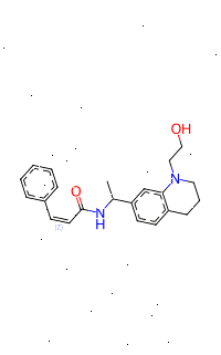 CC(NC(=O)/C=C\c1ccccc1)c1ccc2c(c1)N(CCO)CCC2